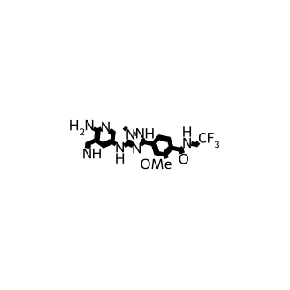 COc1cc(C2N=C(Nc3cnc(N)c(C=N)c3)N(C)N2)ccc1C(=O)NCC(F)(F)F